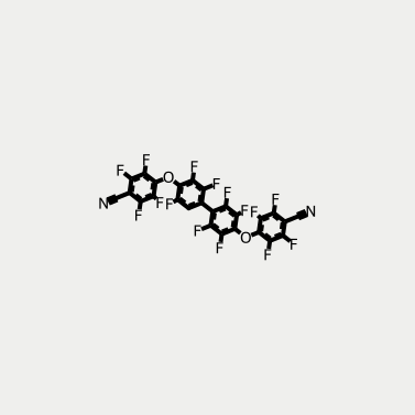 N#Cc1c(F)c(F)c(Oc2c(F)cc(-c3c(F)c(F)c(Oc4c(F)c(F)c(C#N)c(F)c4F)c(F)c3F)c(F)c2F)c(F)c1F